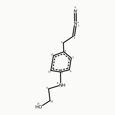 [N-]=[N+]=CCc1ccc(NCCO)cc1